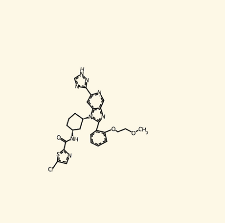 COCCOc1ccccc1-c1nc2cnc(-c3nc[nH]n3)cc2n1[C@@H]1CCC[C@H](NC(=O)c2ncc(Cl)s2)C1